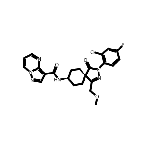 COCC1=NN(c2ccc(F)cc2Cl)C(=O)[C@]12CC[C@H](NC(=O)c1cnn3cccnc13)CC2